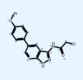 CC(C)Oc1ccc(-c2cnc3[nH]nc(NC(=O)CCl)c3c2)cc1